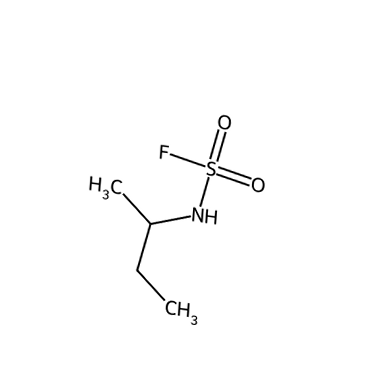 CCC(C)NS(=O)(=O)F